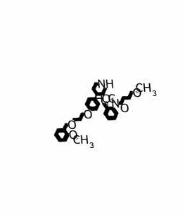 COCCCC(=O)N(C)c1ccccc1CO[C@H]1CNCC[C@@H]1c1ccc(OCCCOCc2ccccc2OC)cc1